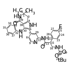 CC1(C)Cc2[nH]c(-c3ccnc(NC(=O)C(CNC(=O)OC(C)(C)C)c4ccc(F)cc4)c3)c(Nc3ccccc3)c2C(=O)N1